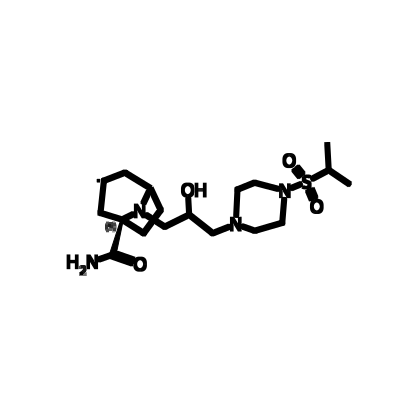 CC(C)S(=O)(=O)N1CCN(CC(O)CN2C3C[CH]C[C@@]2(C(N)=O)CC3)CC1